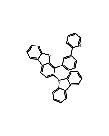 c1ccc(-c2cccc(-c3c(-n4c5ccccc5c5ccccc54)ccc4c3oc3ccccc34)c2)nc1